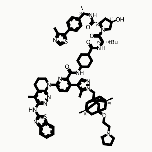 Cc1ncsc1-c1ccc([C@H](C)NC(=O)[C@@H]2C[C@@H](O)CN2C(=O)[C@@H](NC(=O)C2CCC(NC(=O)c3nc(N4CCCc5c4nnc(Nc4nc6ccccc6s4)c5C)ccc3-c3cnn(CC45CC6(OCCN7CCCC7)C[C@](C)(C4)C[C@](C)(C5)C6)c3C)CC2)C(C)(C)C)cc1